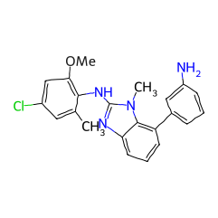 COc1cc(Cl)cc(C)c1Nc1nc2cccc(-c3cccc(N)c3)c2n1C